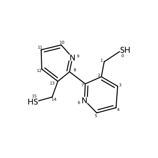 SCc1cccnc1-c1ncccc1CS